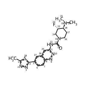 Cc1nnc(-c2ccc3nnc(NC(=O)N4CC[C@H](N(C)C)[C@@H](F)C4)cc3c2)s1